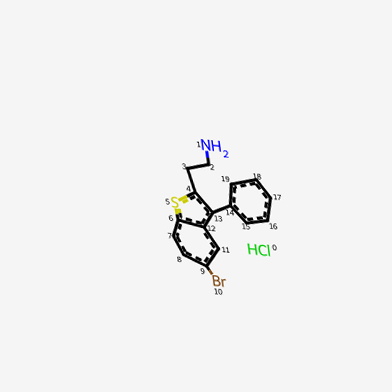 Cl.NCCc1sc2ccc(Br)cc2c1-c1ccccc1